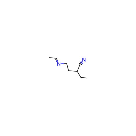 CC=NCCC(C#N)CC